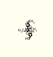 CCn1nc(-c2ccc(OC)nc2)c(C(C)=O)c(Nc2ccc(CO)cc2)c1=O